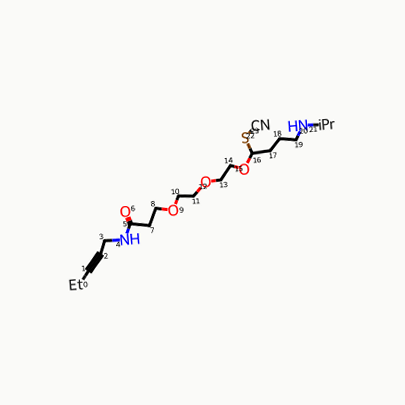 CCC#CCNC(=O)CCOCCOCCOC(CCCNC(C)C)SC#N